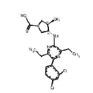 CCc1nc(-c2ccc(Cl)cc2Cl)c(CC)nc1N[C@@H]1CN(C(=O)O)C[C@H]1O